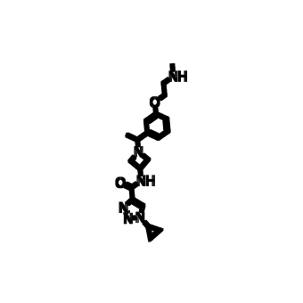 CNCCOc1cccc(C(C)N2CC(NC(=O)c3cn(C4CC4)nn3)C2)c1